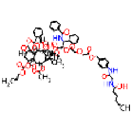 C#CCCCC(O)NCC(=O)Nc1ccc(COC(=O)COCC(=O)O[C@@H](C(=O)O[C@H]2C[C@@]3(O)[C@@H](OC(=O)c4ccccc4)[C@@H]4[C@]5(OC(C)=O)CO[C@@H]5C[C@H](OC(=O)OCC=C)[C@@]4(C)C(=O)[C@H](OC(C)=O)C(=C2C)C3(C)C)C(NC(=O)c2ccccc2)c2ccccc2)cc1